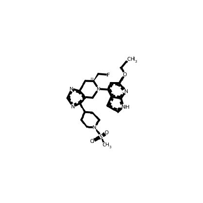 CCOc1cc(N2Cc3c(ncnc3C3CCN(S(C)(=O)=O)CC3)C[C@H]2CF)c2cc[nH]c2n1